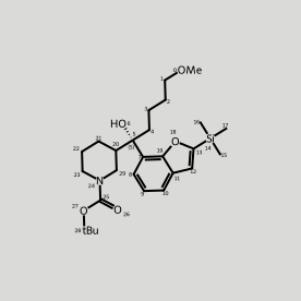 COCCCC[C@@](O)(c1cccc2cc([Si](C)(C)C)oc12)C1CCCN(C(=O)OC(C)(C)C)C1